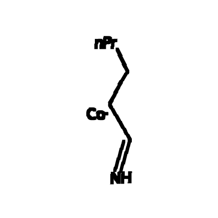 CCCCCC=N.[Co]